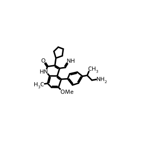 COc1cc(C)c2[nH]c(=O)c(C3CCCC3)c(C=N)c2c1-c1ccc(C(C)CN)cc1